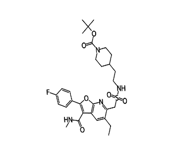 CCc1cc2c(C(=O)NC)c(-c3ccc(F)cc3)oc2nc1CS(=O)(=O)NCCC1CCN(C(=O)OC(C)(C)C)CC1